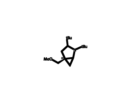 COC[C@@]12CC(C(C)(C)C)N(C(C)(C)C)C1C2